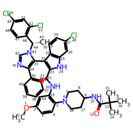 COc1ccc(N2CCC(NC(=O)C(C)(C)C)CC2)c(NC(=O)c2[nH]c3cc(Cl)ccc3c2-c2c(-c3ccccc3)ncn2[C@@H](C)c2ccc(Cl)cc2Cl)c1